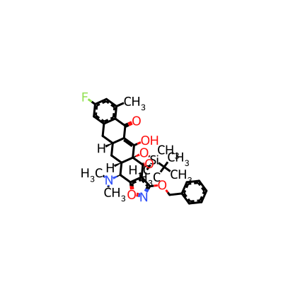 Cc1cc(F)cc2c1C(=O)C1=C(O)[C@]3(O[Si](C)(C)C(C)(C)C)C(=O)c4c(OCc5ccccc5)noc4[C@@H](N(C)C)[C@@H]3C[C@@H]1C2